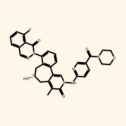 Cc1c2c(cn(Nc3ccc(C(=O)N4CCOCC4)cn3)c1=O)-c1cccc(-n3ncc4cccc(F)c4c3=O)c1C[C@@H](O)C2